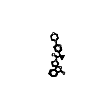 O=C1OC2(CCN(C(=O)C3(c4ccc(N5CCOCC5)nc4)CC3)C2)c2ccccc21